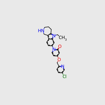 CCn1c2c(c3ccc(-n4ccc(OCc5ccc(Cl)cn5)cc4=O)cc31)CNCCC2